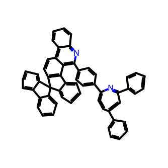 C1=CC(c2ccccc2)=CC(c2ccccc2)=NC=1c1ccc(-c2nc3ccccc3c3ccc4c(c23)-c2ccccc2C42c3ccccc3-c3ccccc32)cc1